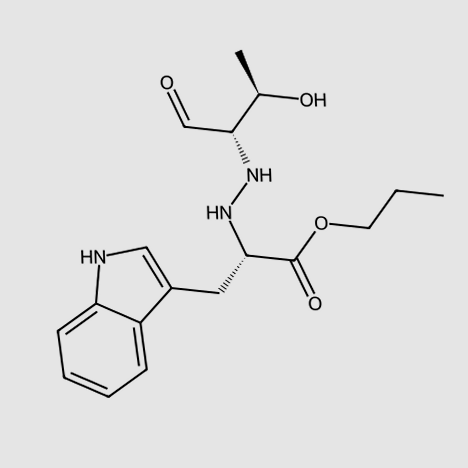 CCCOC(=O)[C@H](Cc1c[nH]c2ccccc12)NN[C@H](C=O)[C@@H](C)O